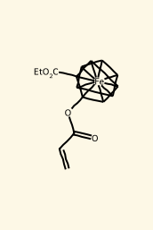 C=CC(=O)O[C]12[CH]3[CH]4[CH]5[C]1(C(=O)OCC)[Fe]43521678[CH]2[CH]1[CH]6[CH]7[CH]28